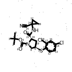 CC(C)(C)OC(=O)N1C[C@H](Sc2ccc(Cl)cc2Cl)C[C@H]1C(=O)NC1(C#N)CC1